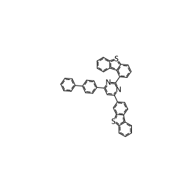 c1ccc(-c2ccc(-c3cc(-c4ccc5c(c4)sc4ccccc45)nc(-c4cccc5sc6ccccc6c45)n3)cc2)cc1